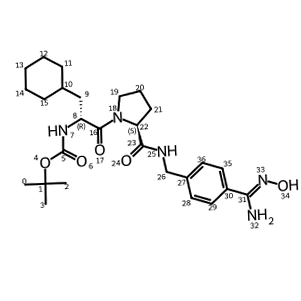 CC(C)(C)OC(=O)N[C@H](CC1CCCCC1)C(=O)N1CCC[C@H]1C(=O)NCc1ccc(C(N)=NO)cc1